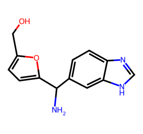 NC(c1ccc2nc[nH]c2c1)c1ccc(CO)o1